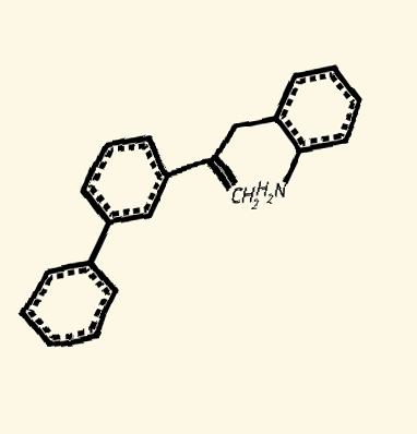 C=C(Cc1ccccc1N)c1cccc(-c2ccccc2)c1